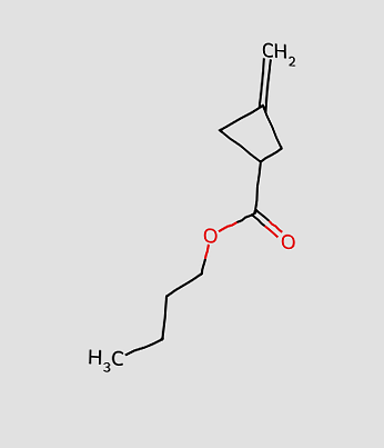 C=C1CC(C(=O)OCCCC)C1